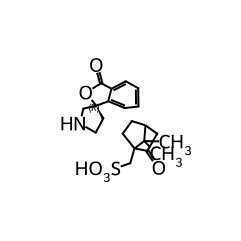 CC1(C)C2CCC1(CS(=O)(=O)O)C(=O)C2.O=C1O[C@]2(CCNC2)c2ccccc21